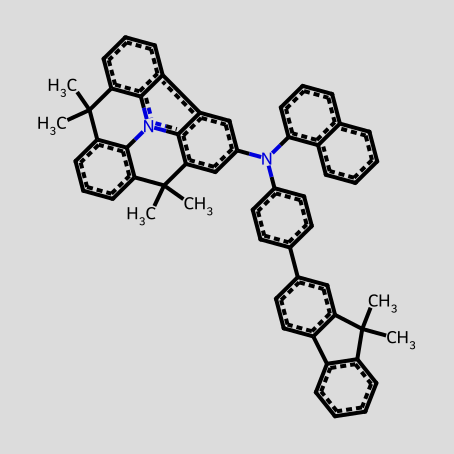 CC1(C)c2ccccc2-c2ccc(-c3ccc(N(c4cc5c6c(c4)c4cccc7c4n6-c4c(cccc4C5(C)C)C7(C)C)c4cccc5ccccc45)cc3)cc21